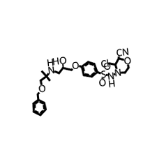 CC(C)(COCc1ccccc1)NC[C@@H](O)COc1ccc(S(=O)(=O)NN2CCOC(C#N)C2Cl)cc1